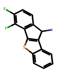 Fc1ccc2c(c1F)-c1sc3ccccc3c1C2I